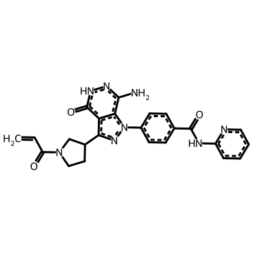 C=CC(=O)N1CCC(c2nn(-c3ccc(C(=O)Nc4ccccn4)cc3)c3c(N)n[nH]c(=O)c23)C1